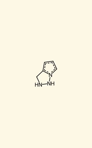 c1cc2n(c1)NNC2